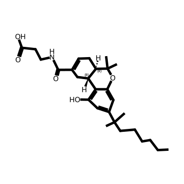 CCCCCCC(C)(C)c1cc(O)c2c(c1)OC(C)(C)[C@@H]1CC=C(C(=O)NCCC(=O)O)C[C@@H]21